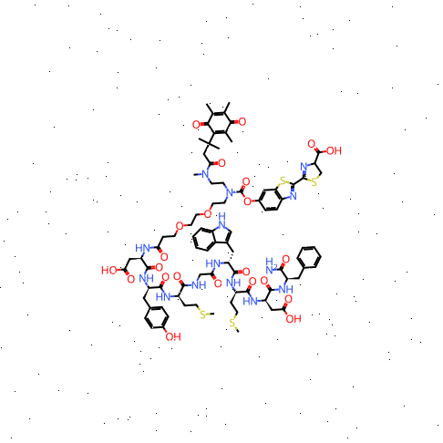 CSCC[C@@H](NC(=O)[C@@H](Cc1ccc(O)cc1)NC(=O)[C@@H](CC(=O)O)NC(=O)CCOCCOCCN(CCN(C)C(=O)CC(C)(C)C1=C(C)C(=O)C(C)=C(C)C1=O)C(=O)Oc1ccc2nc(C3=NC(C(=O)O)CS3)sc2c1)C(=O)NCC(=O)N[C@H](Cc1c[nH]c2ccccc12)C(=O)N[C@H](CCSC)C(=O)N[C@H](CC(=O)O)C(=O)N[C@H](Cc1ccccc1)C(N)=O